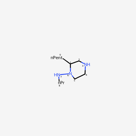 CCCCCC1CNCCN1NCCC